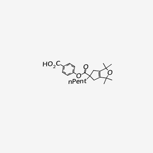 CCCCCC1(C(=O)Oc2ccc(C(=O)O)cc2)CC2=C(C1)C(C)(C)OC2(C)C